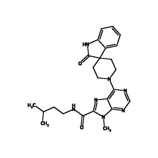 CC(C)CCNC(=O)c1nc2c(N3CCC4(CC3)C(=O)Nc3ccccc34)ncnc2n1C